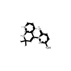 CC1(C)C=C(n2nc(O)ccc2=O)c2cccnc2O1